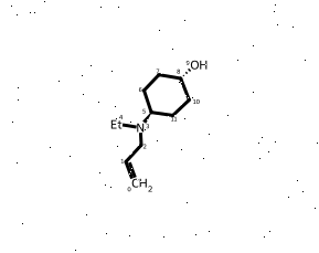 C=CCN(CC)[C@H]1CC[C@H](O)CC1